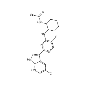 CCC(=O)NC1CCCCC1Nc1nc(C2=CNC3NC=C(Cl)C=C23)ncc1F